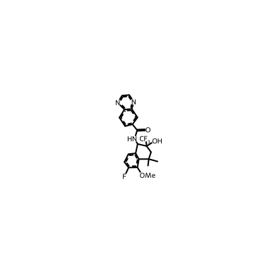 COc1c(F)ccc2c1C(C)(C)CC(O)(C(F)(F)F)C2NC(=O)c1ccc2nccnc2c1